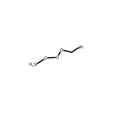 CC(C)COOO[SiH3]